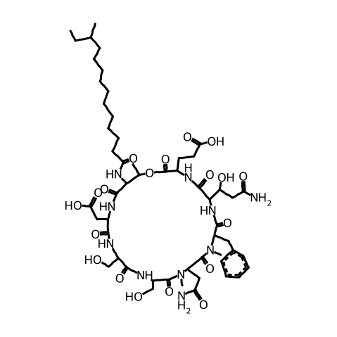 CCC(C)CCCCCCCCCCC(=O)NC1C(=O)NC(CC(=O)O)C(=O)NC(CO)C(=O)NC(CO)C(=O)N(C)C(CC(N)=O)C(=O)N(C)C(Cc2ccccc2)C(=O)NC(C(O)CC(N)=O)C(=O)NC(CCC(=O)O)C(=O)OC1C